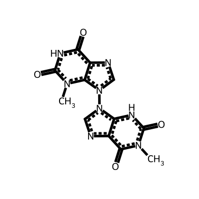 Cn1c(=O)[nH]c2c(ncn2-n2cnc3c(=O)[nH]c(=O)n(C)c32)c1=O